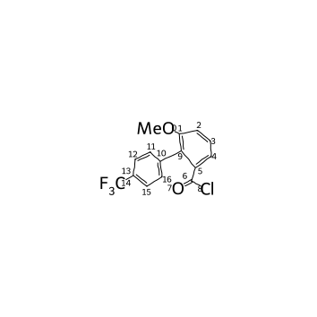 COc1cccc(C(=O)Cl)c1-c1ccc(C(F)(F)F)cc1